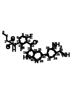 CCCS(=O)(=O)Nc1ccc(F)c(C(=O)c2c[nH]c3ncc(-c4ccc(C=N)c(N)c4)cc23)c1F